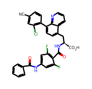 N#Cc1ccc(-c2ccc(C[C@H](NC(=O)c3c(F)cc(NC(=O)c4ccccc4)cc3F)C(=O)O)c3cccnc23)c(Cl)c1